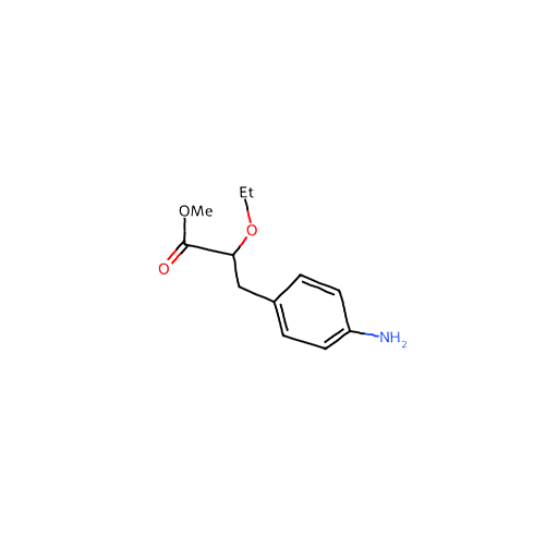 CCOC(Cc1ccc(N)cc1)C(=O)OC